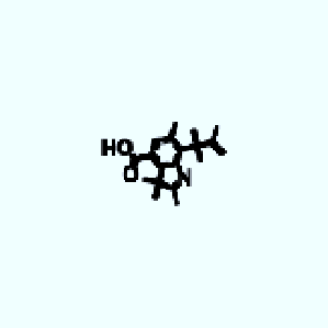 C=C(C)C(C)(C)c1c(C)cc(C(=O)O)c2c1N=C(C)C2(C)C